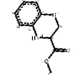 COC(=O)C1COc2ccccc2N1